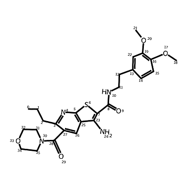 CCCc1nc2sc(C(=O)NCCc3ccc(OC)c(OC)c3)c(N)c2cc1C(=O)N1CCOCC1